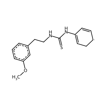 COc1cccc(CCNC(=S)NC2=CC[CH]C=C2)c1